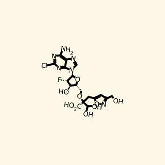 Nc1nc(Cl)nc2c1ncn2[C@@H]1O[C@H](COC(Cc2cc(CO)no2)(C(=O)O)C(O)O)[C@@H](O)[C@@H]1F